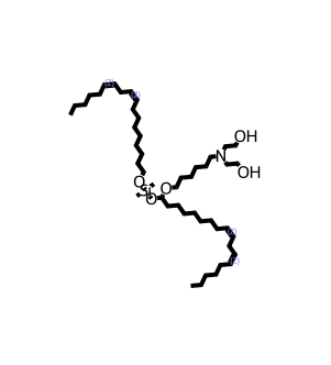 CCCCC/C=C\C/C=C\CCCCCCCCO[Si](C)(C)OC(CCCCCCC/C=C\C/C=C\CCCCC)OCCCCCCN(CCO)CCO